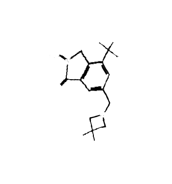 CN1Cc2c(cc(CN3CC(F)(F)C3)cc2C(F)(F)F)C1=O